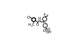 CCCS(=O)(=O)N1CCN(C2(CNC(=O)c3ccc(Cl)cc3C)CCC(F)(F)CC2)CC1